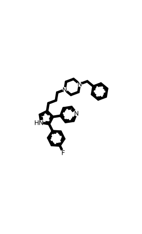 Fc1ccc(-c2[nH]cc(CCCN3CCN(Cc4ccccc4)CC3)c2-c2ccncc2)cc1